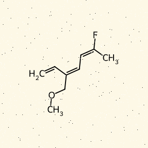 C=C/C(=C\C=C(/C)F)COC